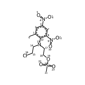 Cc1cc([N+](=O)[O-])cc([N+](=O)[O-])c1N(CCCl)CCOS(C)(=O)=O